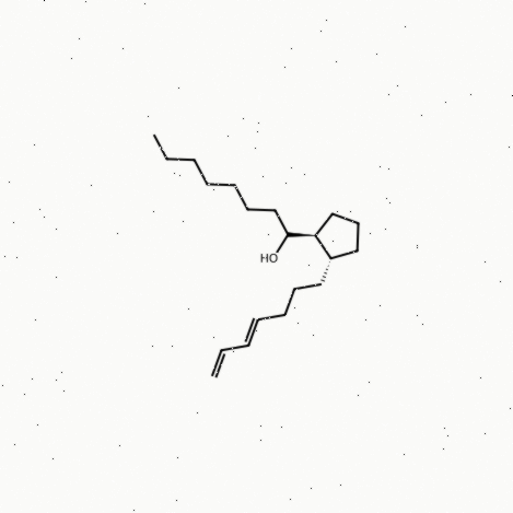 C=C/C=C/CCC[C@H]1CCC[C@@H]1C(O)CCCCCCC